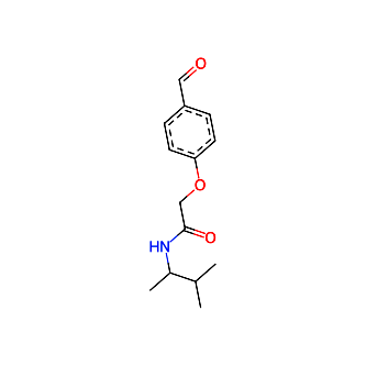 CC(C)C(C)NC(=O)COc1ccc(C=O)cc1